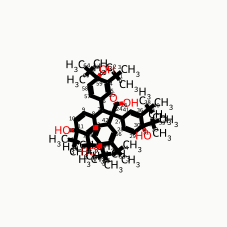 CC(C)(C)C1=CC(C(C2C=CC(O)(C(C)(C)C)C(C(C)(C)C)=C2)C(C(=O)O)(C2C=CC(O)(C(C)(C)C)C(C(C)(C)C)=C2)C2C=CC(O)(C(C)(C)C)C(C(C)(C)C)=C2)C=CC1(O)C(C)(C)C